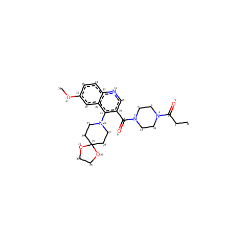 CCC(=O)N1CCN(C(=O)c2cnc3ccc(OC)cc3c2N2CCC3(CC2)OCCO3)CC1